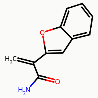 C=C(C(N)=O)c1cc2ccccc2o1